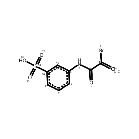 C=C(Br)C(=O)Nc1cc[c]c(S(=O)(=O)O)c1